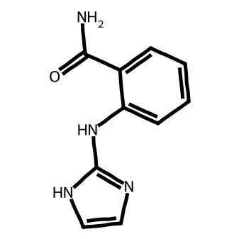 NC(=O)c1ccccc1Nc1ncc[nH]1